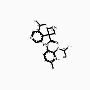 Cc1ccc(NC(=O)C2(c3ccncc3C(C)C)CNC2)c(OC(F)F)n1